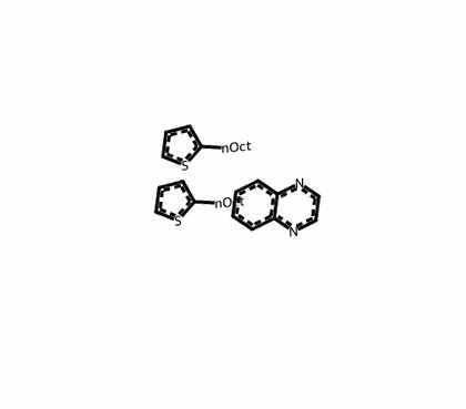 CCCCCCCCc1cccs1.CCCCCCCCc1cccs1.c1ccc2nccnc2c1